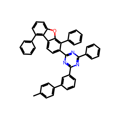 Cc1ccc(-c2cccc(-c3nc(-c4ccccc4)nc(-c4ccc5c(oc6cccc(-c7ccccc7)c65)c4-c4ccccc4)n3)c2)cc1